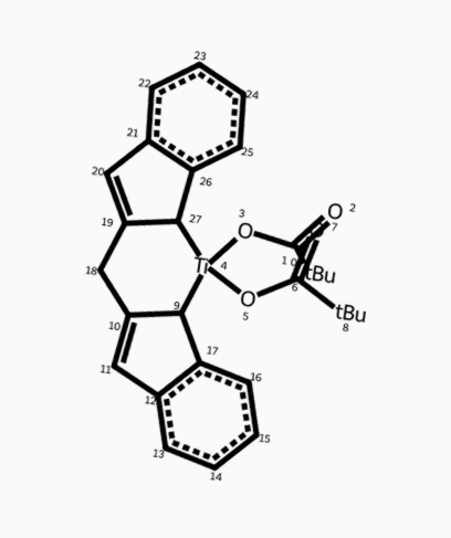 CC(C)(C)C(=O)[O][Ti]1([O]C(=O)C(C)(C)C)[CH]2C(=Cc3ccccc32)CC2=Cc3ccccc3[CH]21